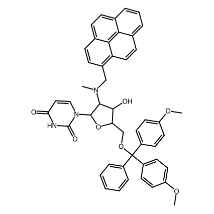 COc1ccc(C(OCC2OC(n3ccc(=O)[nH]c3=O)C(N(C)Cc3ccc4ccc5cccc6ccc3c4c56)C2O)(c2ccccc2)c2ccc(OC)cc2)cc1